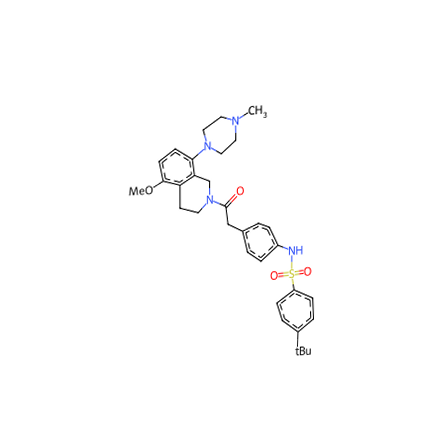 COc1ccc(N2CCN(C)CC2)c2c1CCN(C(=O)Cc1ccc(NS(=O)(=O)c3ccc(C(C)(C)C)cc3)cc1)C2